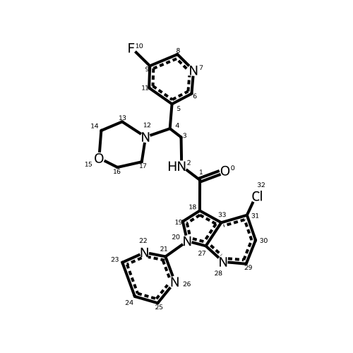 O=C(NCC(c1cncc(F)c1)N1CCOCC1)c1cn(-c2ncccn2)c2nccc(Cl)c12